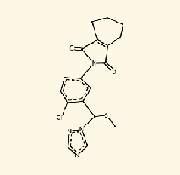 CSC(c1cc(N2C(=O)C3=C(CCCC3)C2=O)ccc1Cl)n1cncn1